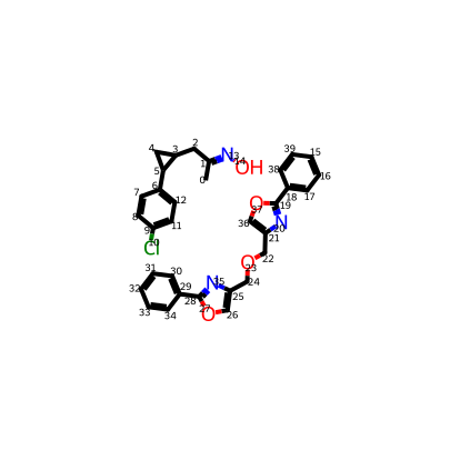 C/C(CC1CC1c1ccc(Cl)cc1)=N\O.c1ccc(-c2nc(COCc3coc(-c4ccccc4)n3)co2)cc1